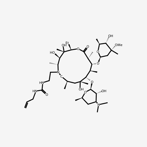 C=CCNC(=O)NCCN1C[C@H](C)C[C@@](C)(O)[C@@H](O[C@@H]2O[C@H](C)C[C@H](N(C)C)[C@H]2O)[C@H](C)[C@@H](O[C@@H]2C[C@@](C)(OC)[C@@H](O)[C@H](C)O2)[C@@H](C)C(=O)O[C@H](CC)[C@@](C)(O)[C@H](O)[C@H]1C